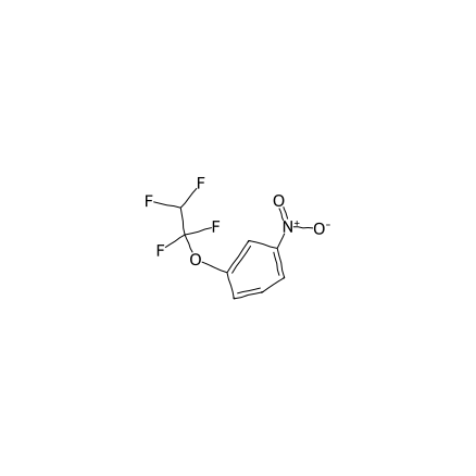 O=[N+]([O-])c1cccc(OC(F)(F)C(F)F)c1